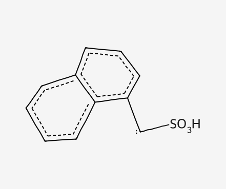 O=S(=O)(O)[C]c1cccc2ccccc12